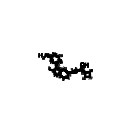 Cc1nc2ccc(C#CC(O)C3CCC3)cc2n1-c1ncnc(N)n1